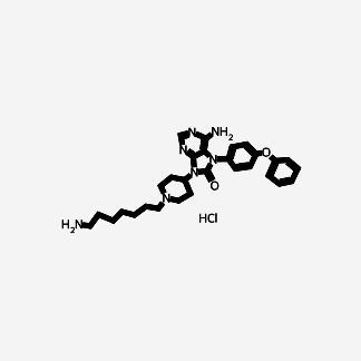 Cl.NCCCCCCCN1CCC(n2c(=O)n(-c3ccc(Oc4ccccc4)cc3)c3c(N)ncnc32)CC1